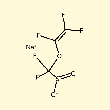 O=S([O-])C(F)(F)OC(F)=C(F)F.[Na+]